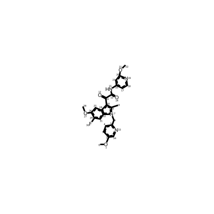 COc1ccc(Cn2c(C)c(C(=O)C(=O)Nc3ccnc(OC)c3)c3cc(OC)c(F)cc32)nc1